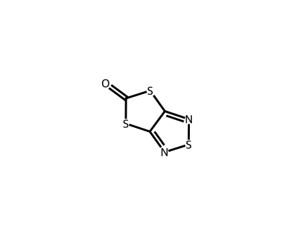 O=c1sc2nsnc2s1